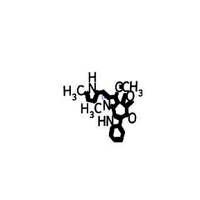 COC1=CC(c2[nH]c3ccccc3c2C(=O)c2ccoc2)=N/C1=C\c1[nH]c(C)cc1C